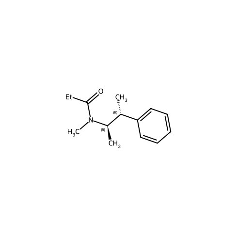 CCC(=O)N(C)[C@H](C)[C@H](C)c1ccccc1